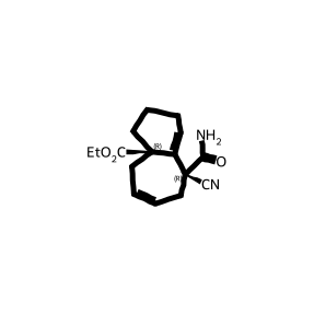 CCOC(=O)[C@]12CC=CC[C@@](C#N)(C(N)=O)C1=CCCC2